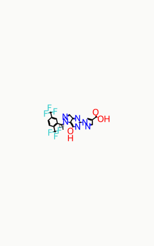 C[C@@H](c1cc(C(F)(F)F)ccc1C(F)(F)F)n1ncc2nc(-n3cc(C(=O)O)cn3)nc(O)c21